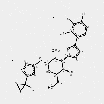 CO[C@@H]1[C@@H](n2cc(-c3ccc(Cl)c(F)c3F)nn2)[C@@H](O)[C@@H](CO)O[C@@H]1Cn1cc(C2(C(F)(F)F)CC2)nn1